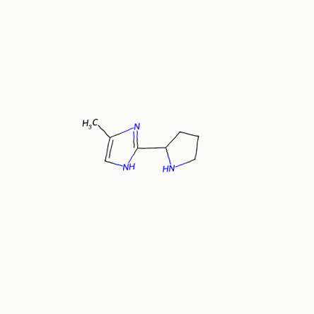 Cc1c[nH]c(C2CCCN2)n1